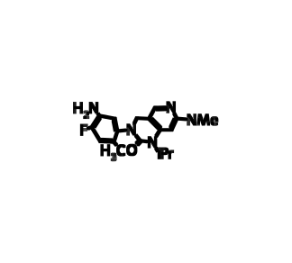 CNc1cc2c(cn1)CN(c1cc(N)c(F)cc1C)C(=O)N2C(C)C